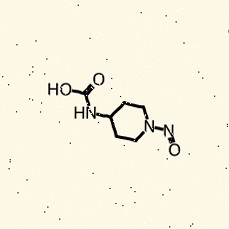 O=NN1CCC(NC(=O)O)CC1